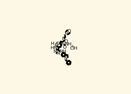 Cc1cc(C(=O)OCCN2CCOCC2)n(C(N)=O)c1C=C1C(=O)Nc2ncnc(Nc3ccc4c(ccn4Cc4ccccc4)c3)c21.Cl